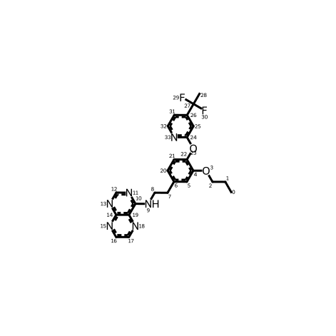 CCCOc1cc(CCNc2ncnc3nccnc23)ccc1Oc1cc(C(C)(F)F)ccn1